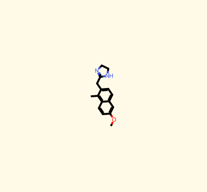 COc1ccc2c(C)c(CC3=NCCN3)ccc2c1